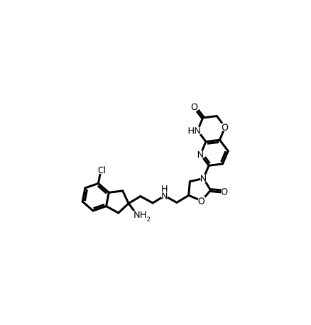 NC1(CCNCC2CN(c3ccc4c(n3)NC(=O)CO4)C(=O)O2)Cc2cccc(Cl)c2C1